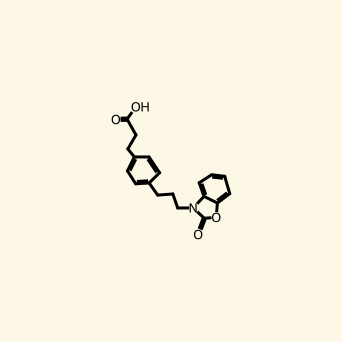 O=C(O)CCc1ccc(CCCn2c(=O)oc3ccccc32)cc1